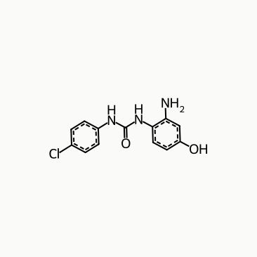 Nc1cc(O)ccc1NC(=O)Nc1ccc(Cl)cc1